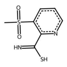 CS(=O)(=O)c1cccnc1C(=N)S